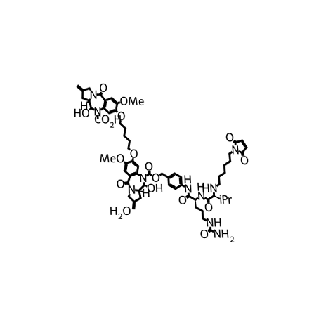 C=C1C[C@H]2[C@H](O)N(C(=O)O)c3cc(OCCCCCOc4cc5c(cc4OC)C(=O)N4CC(=C)C[C@H]4[C@H](O)N5C(=O)OCc4ccc(NC(=O)[C@H](CCCNC(N)=O)NC(=O)[C@@H](NCCCCCCN5C(=O)C=CC5=O)C(C)C)cc4)c(OC)cc3C(=O)N2C1.O